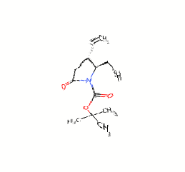 [3H]C[C@@H]1[C@@H](C=C)CC(=O)N1C(=O)OC(C)(C)C